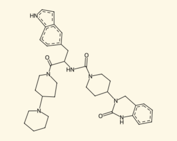 O=C(NC(Cc1ccc2[nH]ccc2c1)C(=O)N1CCC(N2CCCCC2)CC1)N1CCC(N2Cc3ccccc3NC2=O)CC1